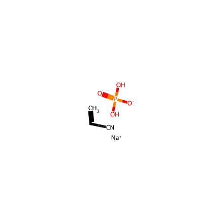 C=CC#N.O=P([O-])(O)O.[Na+]